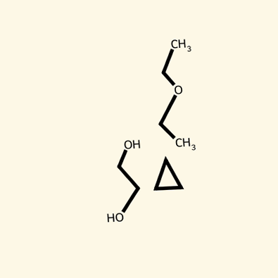 C1CC1.CCOCC.OCCO